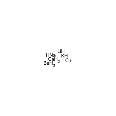 [BaH2].[CaH2].[Cu].[KH].[LiH].[NaH]